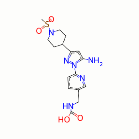 CS(=O)(=O)N1CCC(c2cc(N)n(-c3ccc(CNC(=O)O)cn3)n2)CC1